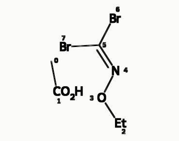 CC(=O)O.CCON=C(Br)Br